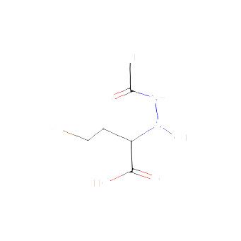 CC(=O)NN(C)C(CCS)C(=O)O